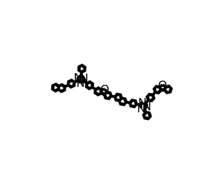 c1ccc(-c2nc(-c3ccc(-c4ccc5ccccc5c4)cc3)nc(-c3ccc(-c4ccc5c(c4)oc4cc(-c6ccc7cc(-c8ccc(-c9nc(-c%10ccccc%10)nc(-c%10ccc(-c%11ccc%12oc%13ccccc%13c%12c%11)cc%10)n9)cc8)ccc7c6)ccc45)cc3)n2)cc1